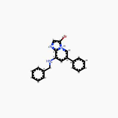 Brc1cnc2c(NCc3ccccc3)cc(-c3ccccc3)cn12